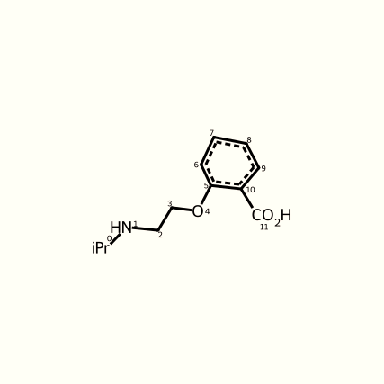 CC(C)NCCOc1ccccc1C(=O)O